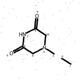 CC.CN1CC(=O)NC(=O)C1